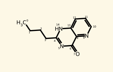 CCCCc1nc(=O)c2ncccc2[nH]1